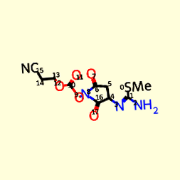 CS/C(N)=N\C1CC(=O)N(OC(=O)OCCC#N)C1=O